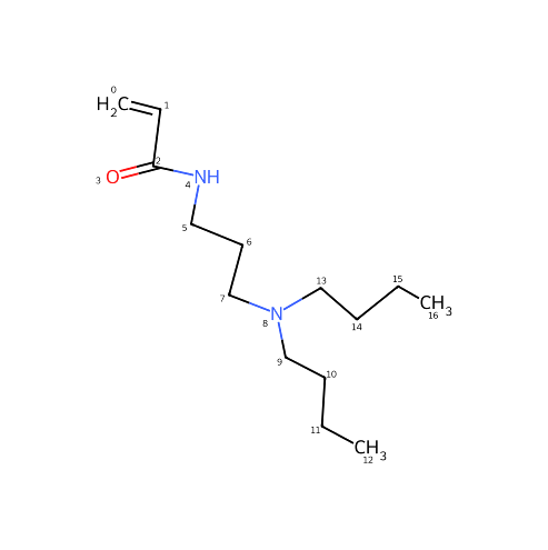 C=CC(=O)NCCCN(CCCC)CCCC